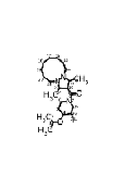 CC(C)O[C@H]1CCN(C(=O)C2C(C)N3CCCCCCCCN3C2C)C[C@H]1F